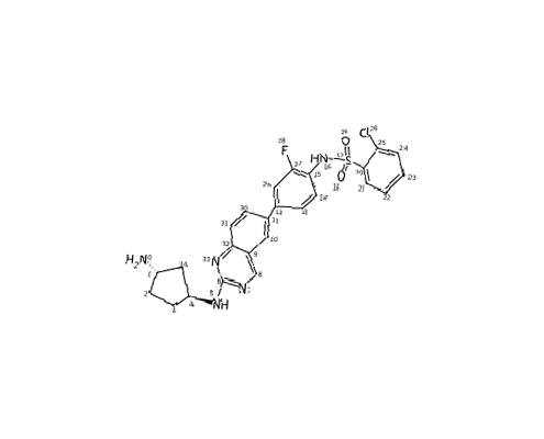 N[C@H]1CC[C@H](Nc2ncc3cc(-c4ccc(NS(=O)(=O)c5ccccc5Cl)c(F)c4)ccc3n2)C1